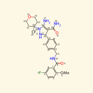 COc1ccc(F)cc1C(=O)NCc1ccc(C2NN(C3(C(F)(F)F)CCOCC3)C(N)=C2C(N)=O)cc1